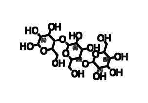 OCC1OC(O)[C@@H](O)C(O)C1OC1OC(CO)[C@@H](OC2OC(CO)[C@@H](O)C(O)[C@@H]2O)C(O)[C@@H]1O